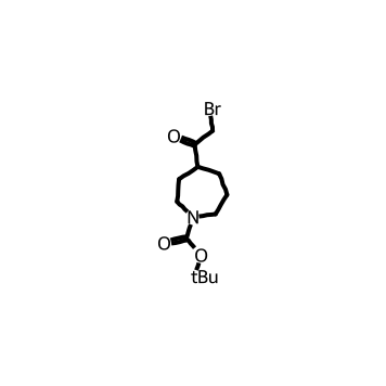 CC(C)(C)OC(=O)N1CCCC(C(=O)CBr)CC1